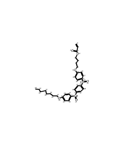 C=CC(=O)OCCCCOc1cc[c]([Co](=[O])[c]2cc[c]([Co](=[O])[c]3ccc(OCCCCCCCC)cc3)cc2)cc1